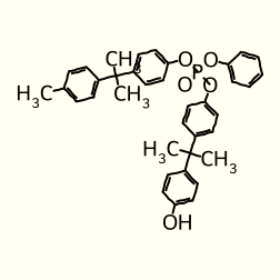 Cc1ccc(C(C)(C)c2ccc(OP(=O)(Oc3ccccc3)Oc3ccc(C(C)(C)c4ccc(O)cc4)cc3)cc2)cc1